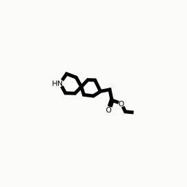 CCOC(=O)CC1CCC2(CCNCC2)CC1